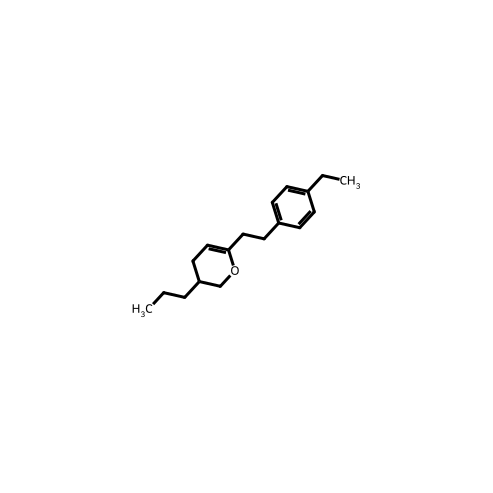 CCCC1CC=C(CCc2ccc(CC)cc2)OC1